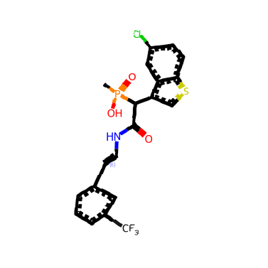 CP(=O)(O)C(C(=O)N/C=C/c1cccc(C(F)(F)F)c1)c1csc2ccc(Cl)cc12